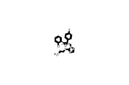 C=CCSc1ncnn1C[C@]1(c2ccc(F)cc2)O[C@H]1c1ccccc1Cl